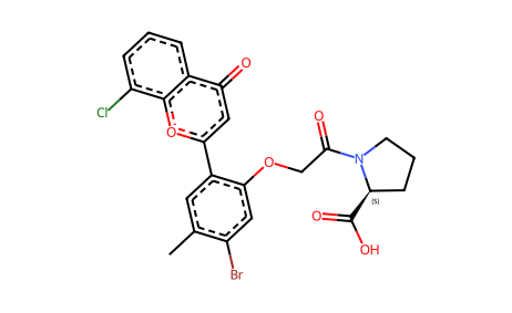 Cc1cc(-c2cc(=O)c3cccc(Cl)c3o2)c(OCC(=O)N2CCC[C@H]2C(=O)O)cc1Br